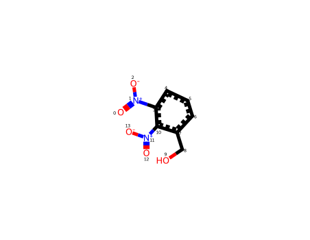 O=[N+]([O-])c1cccc(CO)c1[N+](=O)[O-]